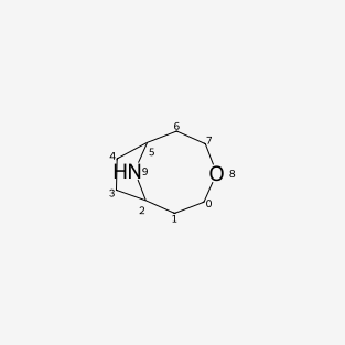 C1CC2CCC(CCO1)N2